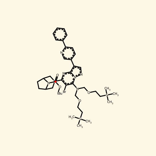 CC(C)(C)OC(=O)N1C2CCC1CN(c1nc3c(-c4ccc(-c5ccccc5)nc4)cnn3c(N(COCC[Si](C)(C)C)COCC[Si](C)(C)C)c1Br)C2